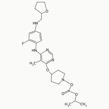 Cc1c(Nc2ccc(NCC3CCCO3)cc2F)ncnc1OC1CCN(OC(=O)OC(C)C)CC1